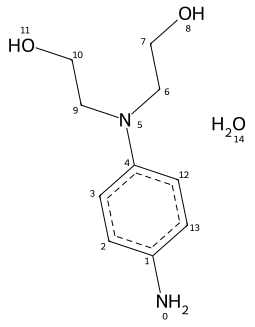 Nc1ccc(N(CCO)CCO)cc1.O